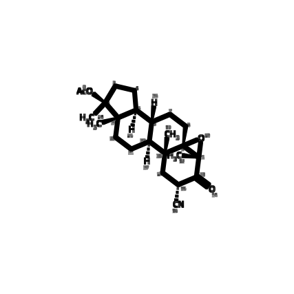 CC(=O)O[C@@]1(C)CC[C@H]2[C@@H]3CC[C@@]45O[C@]4(C)C(=O)[C@H](C#N)C[C@]5(C)[C@H]3CC[C@@]21C